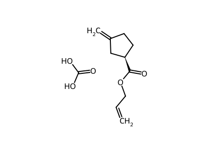 C=CCOC(=O)[C@@H]1CCC(=C)C1.O=C(O)O